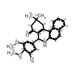 COc1cc(C2Nc3ccc4ccccc4c3C3=C2C(=O)CC(C)(C)C3)cc(Cl)c1OC